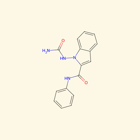 NC(=O)Nn1c(C(=O)Nc2ccccc2)cc2ccccc21